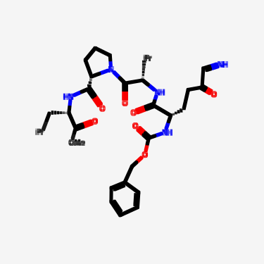 COC(=O)[C@H](CC(C)C)NC(=O)[C@@H]1CCCN1C(=O)[C@@H](NC(=O)[C@H](CCC(=O)C=N)NC(=O)OCc1ccccc1)C(C)C